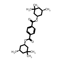 C[C@H]1C[C@@H](OC(=O)c2ccc(C(=O)O[C@@H]3C[C@H](C)CC(C)(C)C3)cc2)CC(C)(C)C1